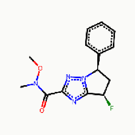 CON(C)C(=O)c1nc2n(n1)[C@@H](c1ccccc1)C[C@H]2F